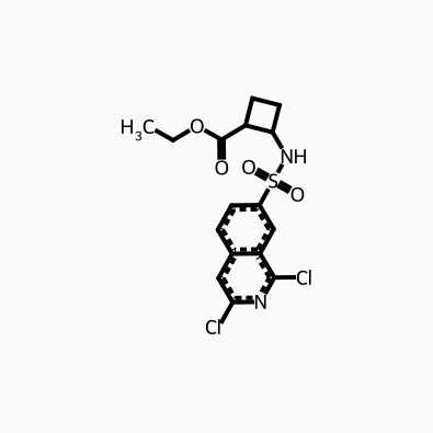 CCOC(=O)C1CCC1NS(=O)(=O)c1ccc2cc(Cl)nc(Cl)c2c1